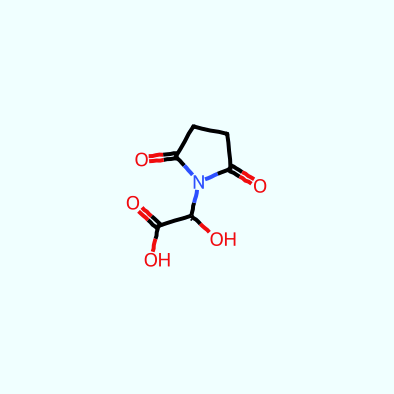 O=C(O)[C](O)N1C(=O)CCC1=O